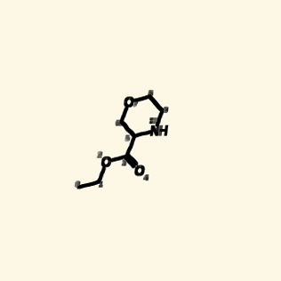 CCOC(=O)C1[CH]OCCN1